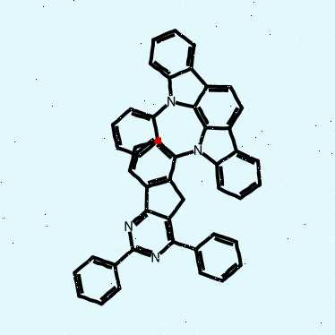 c1ccc(-c2nc(-c3ccccc3)c3c(n2)-c2cccc(-n4c5ccccc5c5ccc6c7ccccc7n(-c7ccccc7)c6c54)c2C3)cc1